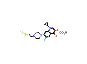 O=C(O)Oc1cn(C2CC2)c2cc(N3CCN(CCSC(F)(F)F)CC3)c(F)cc2c1=O